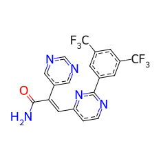 NC(=O)/C(=C/c1ccnc(-c2cc(C(F)(F)F)cc(C(F)(F)F)c2)n1)c1cncnc1